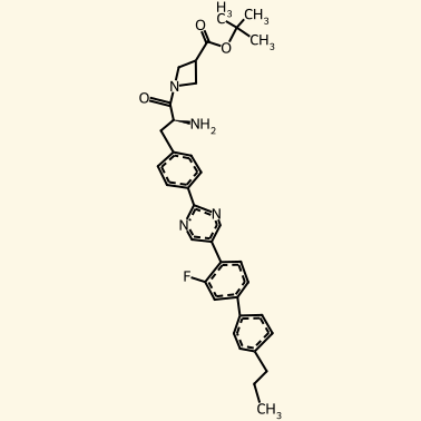 CCCc1ccc(-c2ccc(-c3cnc(-c4ccc(C[C@H](N)C(=O)N5CC(C(=O)OC(C)(C)C)C5)cc4)nc3)c(F)c2)cc1